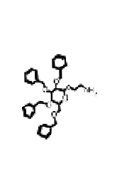 NCCOC1OC(COCc2ccccc2)[C@@H](OCc2ccccc2)C(OCc2ccccc2)[C@H]1OCc1ccccc1